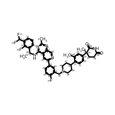 Cc1nc(N[C@H](C)c2cccc(C(F)F)c2F)c2cc(-c3ccc(F)c(CN4CCC(c5ccc([C@@]6(C)CCC(=O)NC6=O)cc5C)CC4)c3)ncc2n1